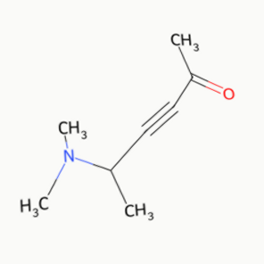 CC(=O)C#CC(C)N(C)C